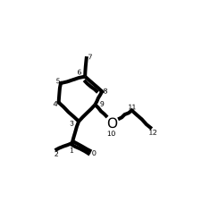 C=C(C)C1CCC(C)=CC1OCC